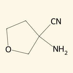 N#CC1(N)CCOC1